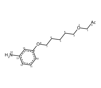 CC(=O)COCCCCCOc1cccc(N)c1